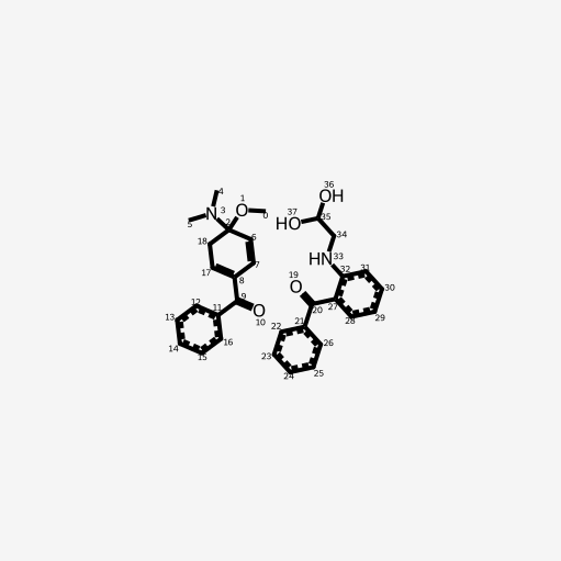 COC1(N(C)C)C=CC(C(=O)c2ccccc2)=CC1.O=C(c1ccccc1)c1ccccc1NCC(O)O